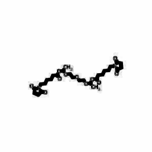 CC(OCCOCCOC(C)OC(=O)CCCCCN1C(=O)C=CC1=O)OC(=O)CCCCCN1C(=O)C=CC1=O